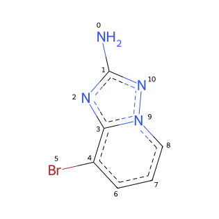 Nc1nc2c(Br)cccn2n1